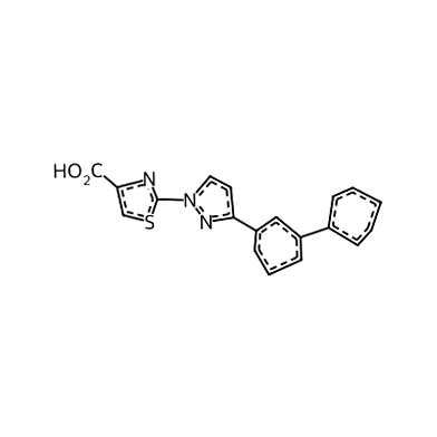 O=C(O)c1csc(-n2ccc(-c3cccc(-c4ccccc4)c3)n2)n1